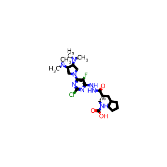 CN(C)C1CN(c2nc(Cl)nc(NNC(=O)[C@@H](CNC(=O)O)CC3CCCC3)c2F)CC1N(C)C